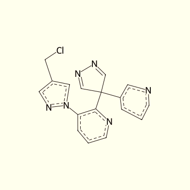 ClCc1cnn(-c2cccnc2C2(c3cccnc3)C=NN=C2)c1